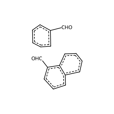 O=Cc1cccc2ccccc12.O=Cc1ccccc1